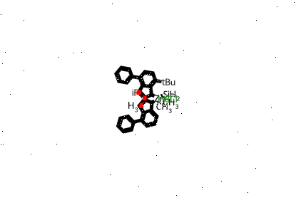 CC1=Cc2c(-c3ccccc3)ccc(C(C)(C)C)c2[CH]1[Zr]([CH3])([CH3])(=[SiH2])[CH]1C(C(C)C)=Cc2c(-c3ccccc3)cccc21.Cl.Cl